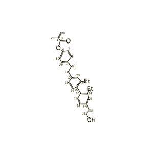 C=C(C)C(=O)Oc1ccc(CCc2ccc(-c3ccc(CCO)cc3CC)c(CC)c2)cc1